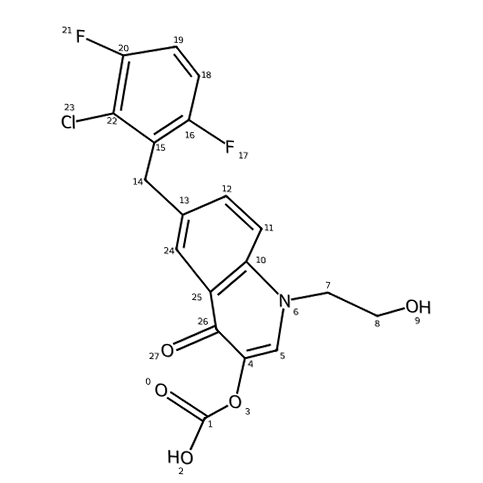 O=C(O)Oc1cn(CCO)c2ccc(Cc3c(F)ccc(F)c3Cl)cc2c1=O